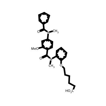 COc1cc(N(C)C(=O)c2ccccc2)ccc1C(=O)N(C)c1ccccc1OCCCCCC(=O)O